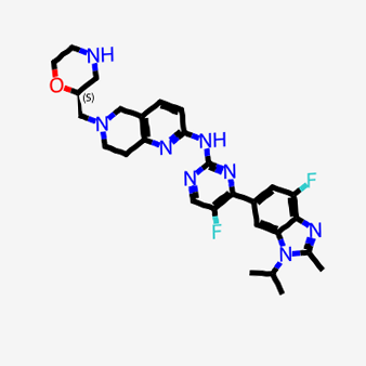 Cc1nc2c(F)cc(-c3nc(Nc4ccc5c(n4)CCN(C[C@@H]4CNCCO4)C5)ncc3F)cc2n1C(C)C